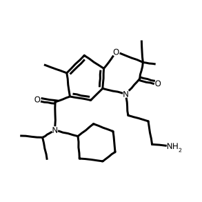 Cc1cc2c(cc1C(=O)N(C(C)C)C1CCCCC1)N(CCCN)C(=O)C(C)(C)O2